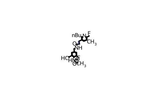 C#Cc1cc(CNC(=O)/C=C/c2cc(C)c(CF)nc2CCCC)cc(F)c1NS(C)(=O)=O